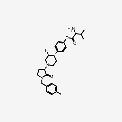 Cc1ccc(CN2CC[C@@H](N3CC[C@@H](c4ccc(OC(=O)[C@@H](N)C(C)C)cc4)[C@H](F)C3)C2=O)cc1